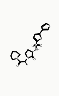 C[C@@H](C(=O)N1CCCCC1)N1CC[C@H](NS(=O)(=O)c2ccc(-c3ccsc3)s2)C1=O